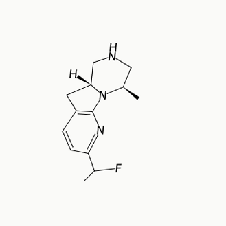 CC(F)c1ccc2c(n1)N1[C@@H](CNC[C@H]1C)C2